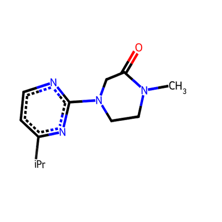 CC(C)c1ccnc(N2CCN(C)C(=O)C2)n1